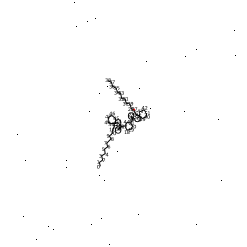 CCCCCCCCCCCCCC1(OC(=O)C2CCCC(C(=O)OC3(CCCCCCCCCCCCC)CCCCC3)C2)CCCCC1